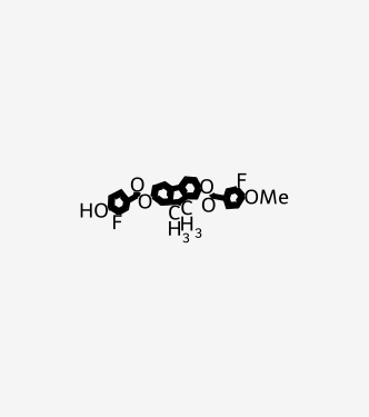 COc1ccc(C(=O)Oc2ccc3c(c2)C(C)(C)c2cc(OC(=O)c4ccc(O)c(F)c4)ccc2-3)cc1F